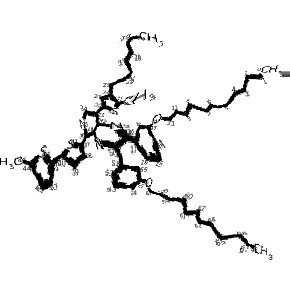 CCCCCCCCCCCCOc1cccc(C2=NC3C(c4cc(CCCCCC)c(C)s4)=CN=C(c4ccc(-c5ccc(C)s5)s4)C3N=C2c2cccc(OCCCCCCCCCCCC)c2)c1